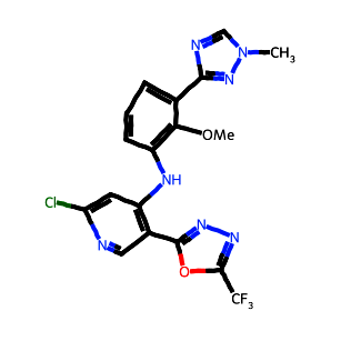 COc1c(Nc2cc(Cl)ncc2-c2nnc(C(F)(F)F)o2)cccc1-c1ncn(C)n1